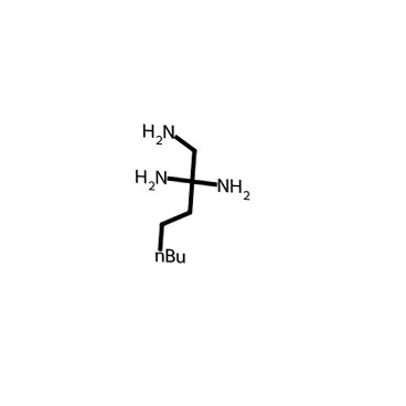 CCCCCCC(N)(N)CN